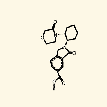 COC(=O)c1ccc2c(c1)C(=O)N([C@@H]1CCCC[C@H]1N1CCOCC1=O)C2